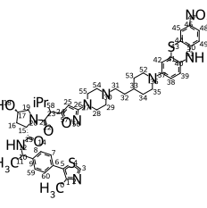 Cc1ncsc1-c1ccc(C(C)NC(=O)[C@@H]2C[C@@H](O)CN2C(=O)C(c2cc(N3CCN(CCC4CCN(c5ccc6c(c5)Sc5cc([N+](=O)[O-])ccc5N6)CC4)CC3)no2)C(C)C)cc1